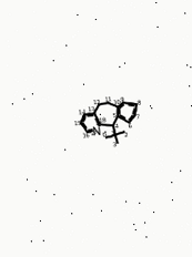 CC(C)(C)C1c2ccccc2CCc2cccnc21